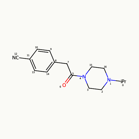 CC(C)N1CCN(C(=O)Cc2ccc(C#N)cc2)CC1